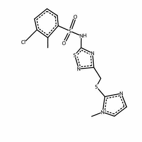 Cc1c(Cl)cccc1S(=O)(=O)Nc1nc(CSc2nccn2C)ns1